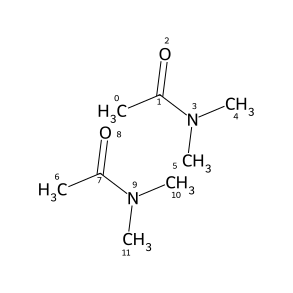 CC(=O)N(C)C.CC(=O)N(C)C